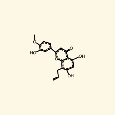 C=CCc1c(O)cc(O)c2c(=O)cc(-c3ccc(OC)c(O)c3)oc12